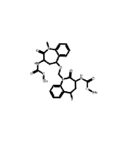 CN1C(=O)C(NC(=O)OC(C)(C)C)CC(OCN2C(=O)C(NC(=O)OC(C)(C)C)CC(F)c3ccccc32)c2ccccc21